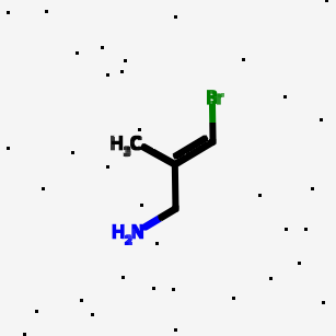 C/C(=C\Br)CN